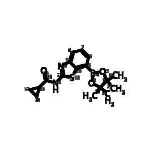 CC1(C)OB(c2cccc3nc(NC(=O)C4CC4)sc23)OC1(C)C